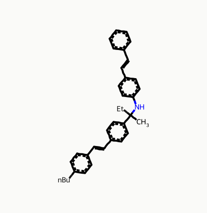 CCCCc1ccc(/C=C/c2ccc(C(C)(CC)Nc3ccc(/C=C/c4ccccc4)cc3)cc2)cc1